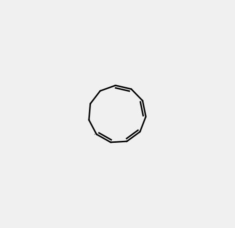 [C]1=CC=CC=CC=CCCC1